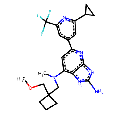 COCC1(CN(C)c2cc(-c3cc(C4CC4)nc(C(F)(F)F)c3)nc3nc(N)[nH]c23)CCC1